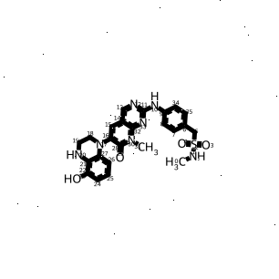 CNS(=O)(=O)Cc1ccc(Nc2ncc3cc(N4CCNc5c(O)cccc54)c(=O)n(C)c3n2)cc1